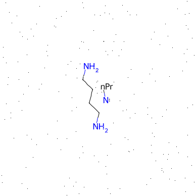 CCC[N].NCCCCN